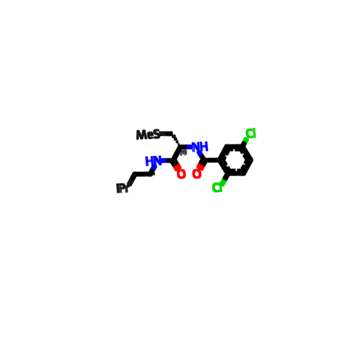 CSC[C@H](NC(=O)c1cc(Cl)ccc1Cl)C(=O)N[CH]CC(C)C